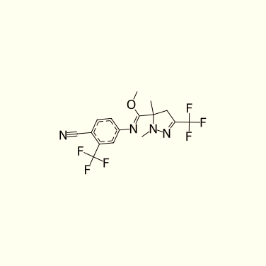 CO/C(=N\c1ccc(C#N)c(C(F)(F)F)c1)C1(C)CC(C(F)(F)F)=NN1C